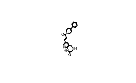 O=C1CNCc2cc(C=CC(=O)N3CC=C(c4ccccc4)CC3)cnc2N1